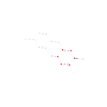 CC(C)(C)c1ccc2c(c1)C1c3ccc(C(C)(C)C)cc3C2c2cc(Br)c(Br)cc21